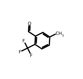 Cc1ccc(C(F)(F)F)c(C=O)c1